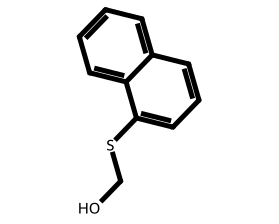 OCSc1cccc2ccccc12